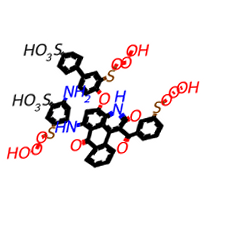 Nc1cc(Nc2cc(Oc3ccc(-c4ccc(S(=O)(=O)O)cc4)cc3SOOO)c3[nH]c(=O)c(C(=O)c4cccc(SOOO)c4)c4c3c2C(=O)c2ccccc2-4)c(SOOO)cc1S(=O)(=O)O